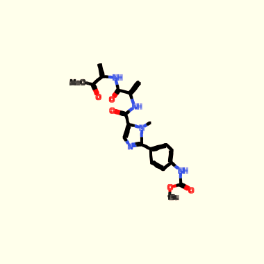 C=C(NC(=O)c1cnc(-c2ccc(NC(=O)OC(C)(C)C)cc2)n1C)C(=O)NC(=C)C(=O)OC